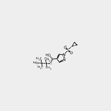 CC(C)(O)C(C)(C)OB(O)c1cnn(S(=O)(=O)C2CC2)c1